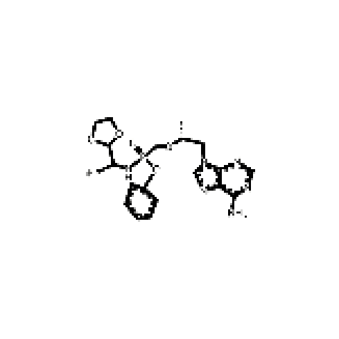 CC(C)C(NP(=O)(CO[C@H](C)Cn1cnc2c(N)ncnc21)Oc1ccccc1)C1OCCO1